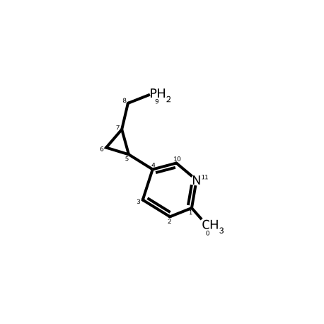 Cc1ccc(C2CC2CP)cn1